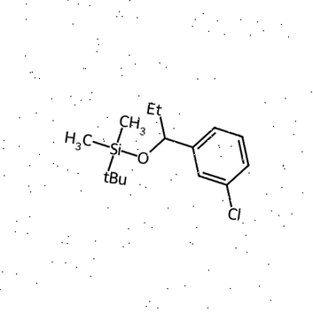 CCC(O[Si](C)(C)C(C)(C)C)c1cccc(Cl)c1